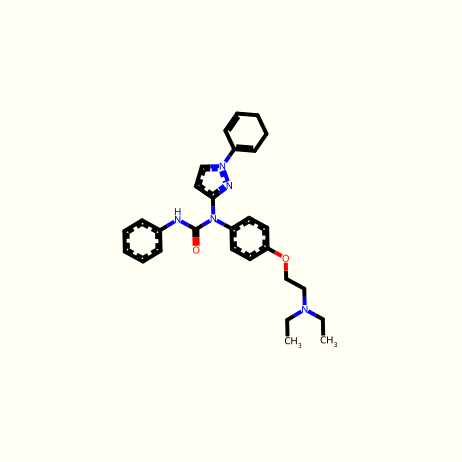 CCN(CC)CCOc1ccc(N(C(=O)Nc2ccccc2)c2ccn(C3=CCCC=C3)n2)cc1